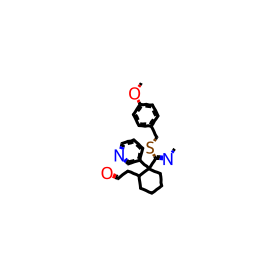 CN=C(SCc1ccc(OC)cc1)C1(c2cccnc2)CCCCC1CC=O